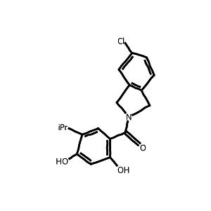 CC(C)c1cc(C(=O)N2Cc3ccc(Cl)cc3C2)c(O)cc1O